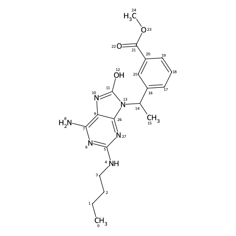 CCCCNc1nc(N)c2nc(O)n(C(C)c3cccc(C(=O)OC)c3)c2n1